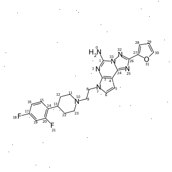 Nc1nc2c(ccn2CCN2CCC(c3ccc(F)cc3F)CC2)c2nc(-c3ccco3)nn12